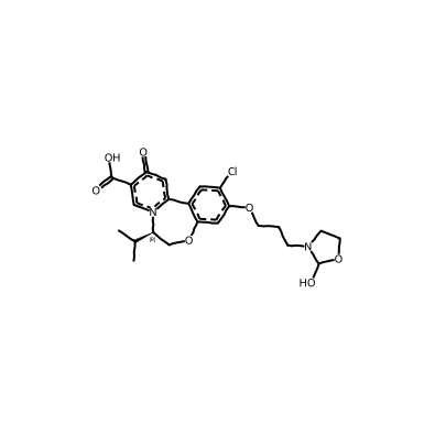 CC(C)[C@@H]1COc2cc(OCCCN3CCOC3O)c(Cl)cc2-c2cc(=O)c(C(=O)O)cn21